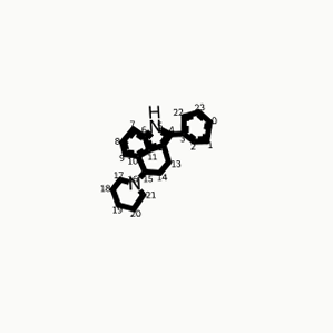 c1ccc(-c2[nH]c3cccc4c3c2CCC4N2CCCCC2)cc1